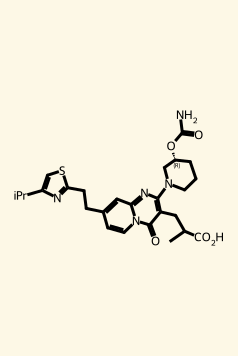 CC(Cc1c(N2CCC[C@@H](OC(N)=O)C2)nc2cc(CCc3nc(C(C)C)cs3)ccn2c1=O)C(=O)O